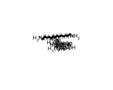 CP(=O)(O)O.CP(=O)(O)O.CP(=O)(O)O.CP(=O)(O)O.NCCCCCCCCCCCCCCN